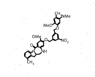 CNc1cc(OCc2cc(COc3cc4c(cc3OC)C(=O)N3c5cccc(C)c5CC3CN4)cc([N+](=O)[O-])c2)c(OC)cc1C